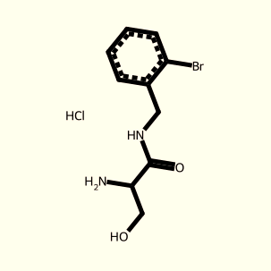 Cl.NC(CO)C(=O)NCc1ccccc1Br